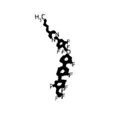 CCCCCc1cnc(-c2cc(F)c(C(F)(F)Oc3ccc(-c4ccc(-c5cc(F)c(CC(F)(F)F)c(F)c5)c(F)c4)c(F)c3)c(F)c2)nc1